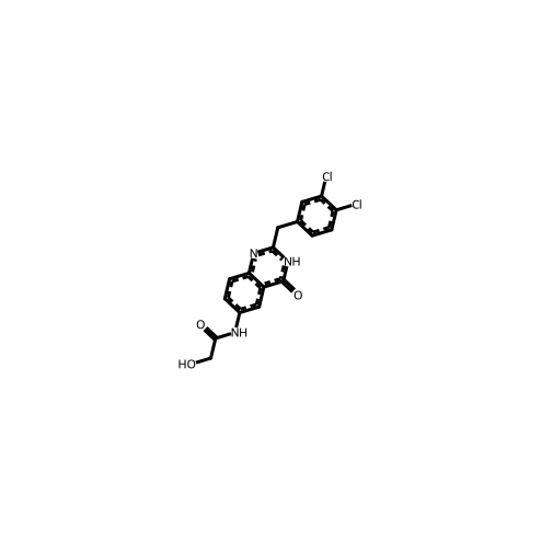 O=C(CO)Nc1ccc2nc(Cc3ccc(Cl)c(Cl)c3)[nH]c(=O)c2c1